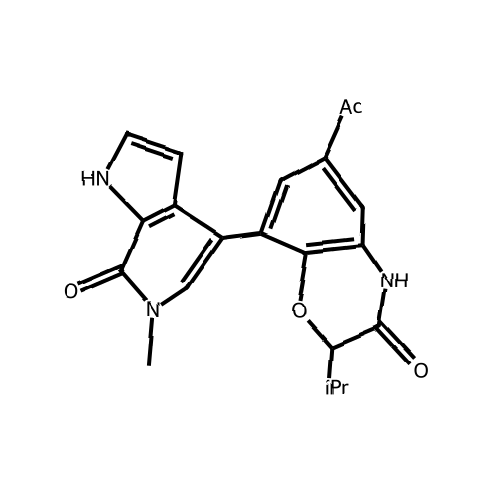 CC(=O)c1cc2c(c(-c3cn(C)c(=O)c4[nH]ccc34)c1)OC(C(C)C)C(=O)N2